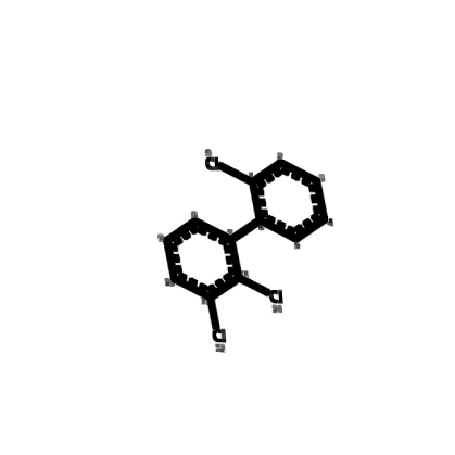 Clc1ccccc1-c1[c]ccc(Cl)c1Cl